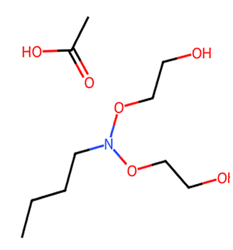 CC(=O)O.CCCCN(OCCO)OCCO